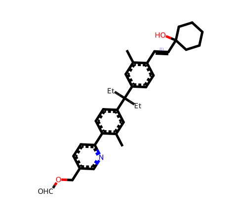 CCC(CC)(c1ccc(/C=C/C2(O)CCCCC2)c(C)c1)c1ccc(-c2ccc(COC=O)cn2)c(C)c1